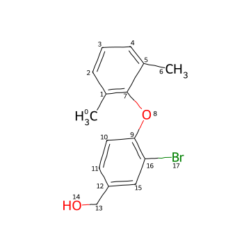 Cc1cccc(C)c1Oc1ccc(CO)cc1Br